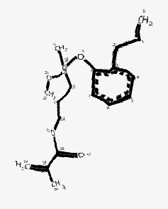 C=CCc1ccccc1O[Si](C)(CCCOC(=O)C(=C)C)OC